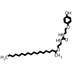 CCCCCCCCCCCCCCCCC(C)OCCNC(=O)NCCOc1ccc(O)cc1